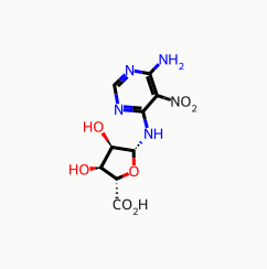 Nc1ncnc(N[C@@H]2O[C@H](C(=O)O)[C@@H](O)[C@H]2O)c1[N+](=O)[O-]